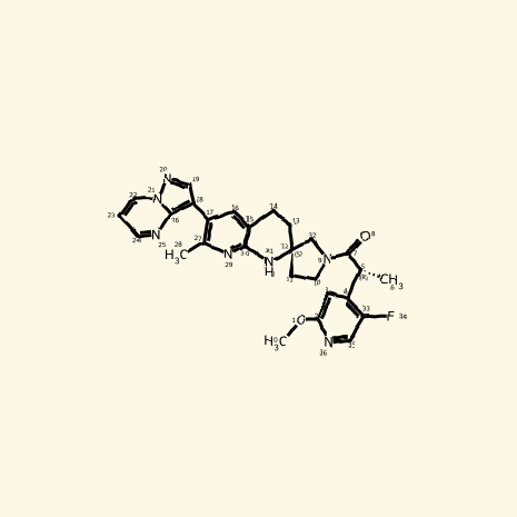 COc1cc([C@@H](C)C(=O)N2CC[C@@]3(CCc4cc(-c5cnn6cccnc56)c(C)nc4N3)C2)c(F)cn1